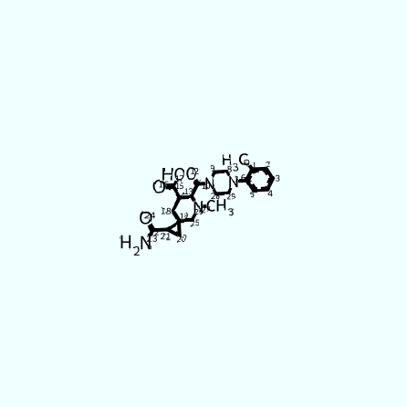 Cc1ccccc1N1CCN(C(=O)C2C(C(=O)O)CC3(CC3C(N)=O)CN2C)CC1